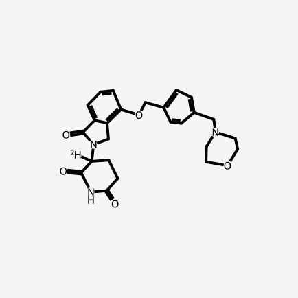 [2H]C1(N2Cc3c(OCc4ccc(CN5CCOCC5)cc4)cccc3C2=O)CCC(=O)NC1=O